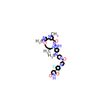 Cc1cc2cc(n1)-c1cnn(C)c1OCCC[C@@H](C)CN1/C(=N/C2=O)Nc2ccc(N(C)C3CCN(C(=O)[C@@H]4CCN(c5cc(F)c([C@H]6CCC(=O)NC6=O)c(F)c5)C4)CC3)cc21